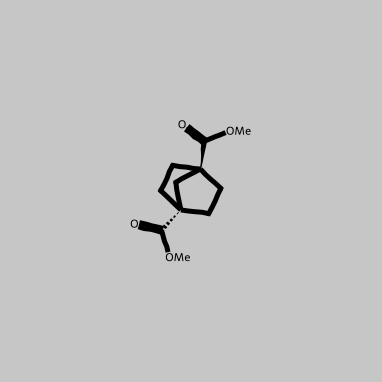 COC(=O)[C@]12CC[C@@](C(=O)OC)(CC1)C2